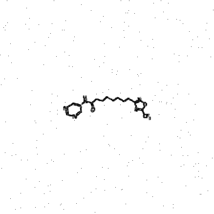 O=C(CCCCCCCc1noc(C(F)(F)F)n1)Nc1cncnc1